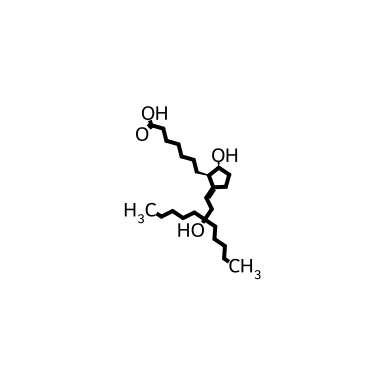 CCCCCC(O)(CC=C1CC[C@@H](O)[C@@H]1CCCCCCC(=O)O)CCCCC